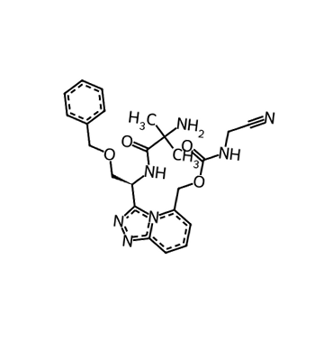 CC(C)(N)C(=O)N[C@H](COCc1ccccc1)c1nnc2cccc(COC(=O)NCC#N)n12